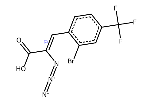 [N-]=[N+]=N/C(=C\c1ccc(C(F)(F)F)cc1Br)C(=O)O